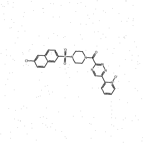 O=C(c1ncc(-c2cccc[n+]2[O-])nn1)N1CCN(S(=O)(=O)c2ccc3cc(Cl)ccc3c2)CC1